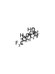 CN(C)C(Cc1cccc(O)c1)Cc1cccc(C(F)(F)F)c1